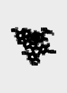 Cc1cc(C2=CC=C3C(c4cc(C)c(C(C)(C)C)cc4C(C)(C)C)=C(c4cc(C)c(C(C)(C)C)cc4C(C)(C)C)C(c4cc(C)c(C(C)(C)C)cc4C(C)(C)C)=C3C2(c2ccccc2)c2ccccc2)c(C(C)(C)C)cc1C(C)(C)C.OP